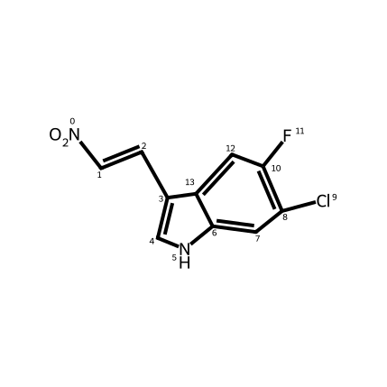 O=[N+]([O-])C=Cc1c[nH]c2cc(Cl)c(F)cc12